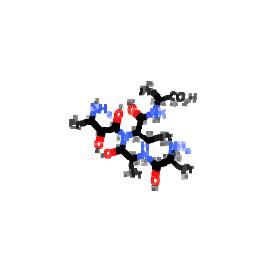 CCC(N)C(=O)C(=O)N(C(=O)[C@@H](NC(=O)[C@@H](N)C(C)C)C(C)C)[C@H](CC(C)C)C(=O)N[C@H](C(=O)O)C(C)C